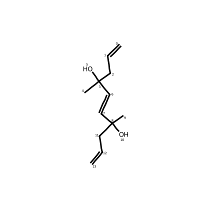 C=CCC(C)(O)/C=C/C(C)(O)CC=C